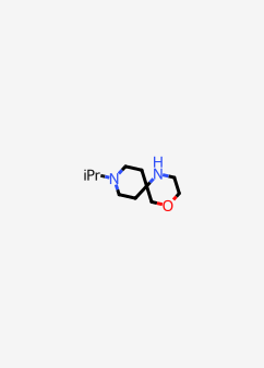 CC(C)N1CCC2(CC1)COCCN2